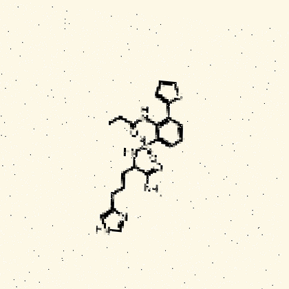 CCC(=O)Nc1c(-c2cccs2)cccc1S(=O)(=O)NC(CCCc1c[nH]cn1)C(N)=O